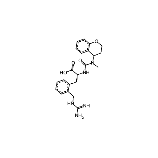 CN(C(=O)N[C@@H](Cc1ccccc1CNC(=N)N)C(=O)O)C1CCOc2ccccc21